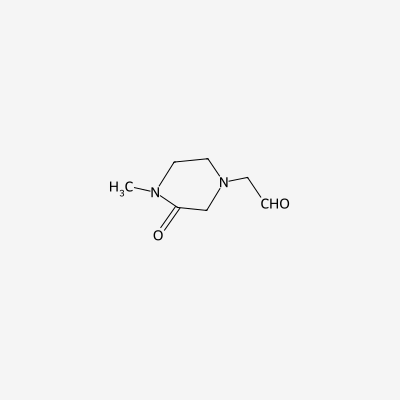 CN1CCN(CC=O)CC1=O